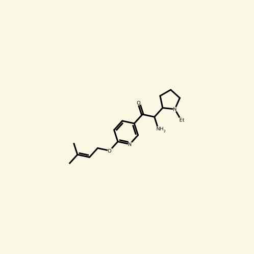 CCN1CCCC1C(N)C(=O)c1ccc(OCC=C(C)C)nc1